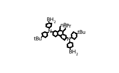 Bc1ccc(N(c2ccc(C(C)(C)C)cc2)c2ccc3c(c2)c(=C/CCC)/c(=C\CCC)c2cc(N(c4ccc(B)cc4)c4ccc(C(C)(C)C)cc4)ccc23)cc1